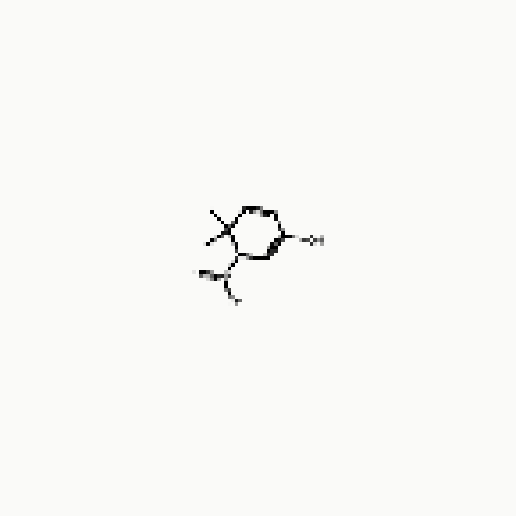 CC1(C)C=CC(O)=CC1[N+](=O)[O-]